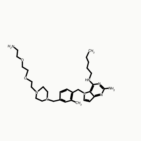 CCCCCNc1nc(N)nc2ccn(Cc3ccc(CN4CCN(CCOCCOCCN)CC4)cc3C)c12